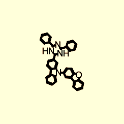 c1ccc(C2=NC(c3ccccc3)NC(c3ccc4c5ccccc5n(-c5ccc6oc7ccccc7c6c5)c4c3)N2)cc1